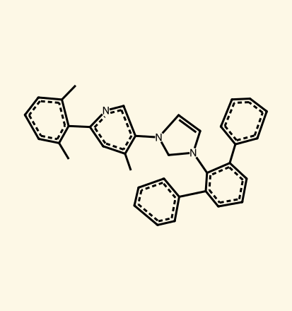 Cc1cc(-c2c(C)cccc2C)ncc1N1C=CN(c2c(-c3ccccc3)cccc2-c2ccccc2)C1